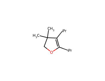 CC(C)C1=C(C(C)C)C(C)(C)CO1